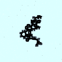 CC(C)CC(NC(=O)[C@@H]1CCCC[C@@H]1NC(=O)C#CCN(C)C)C(=O)c1nn(CC(C)C)c(=O)o1